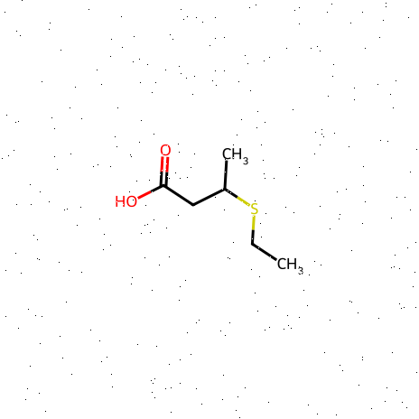 CCSC(C)CC(=O)O